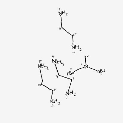 CCCCN(C)CCCC.NCCN.NCCN.NCCN